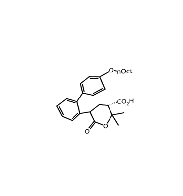 CCCCCCCCOc1ccc(-c2ccccc2C2C[C@H](C(=O)O)C(C)(C)OC2=O)cc1